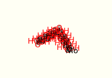 O=C(O)C(=O)O.O=C(O)C(=O)O.O=C(O)C(=O)O.O=C(O)C(=O)O.O=C(O)C(=O)O.O=C(O)C(=O)O.O=C(O)C(=O)O.O=C(O)C(=O)O.O=C(O)C(=O)O.[Mo]